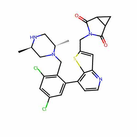 C[C@@H]1CN(Cc2c(Cl)cc(Cl)cc2-c2ccnc3cc(CN4C(=O)C5CC5C4=O)sc23)[C@@H](C)CN1